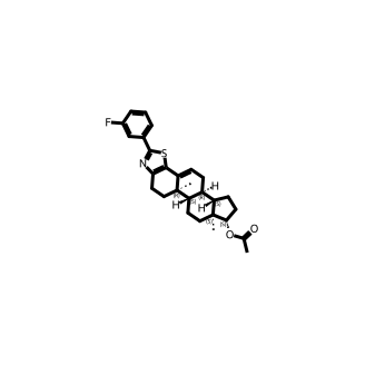 CC(=O)O[C@H]1CC[C@H]2[C@@H]3CC=C4c5sc(-c6cccc(F)c6)nc5CC[C@]4(C)[C@H]3CC[C@]12C